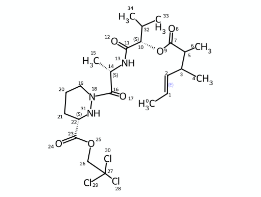 C/C=C/C(C)C(C)C(=O)O[C@H](C(=O)N[C@@H](C)C(=O)N1CCC[C@@H](C(=O)OCC(Cl)(Cl)Cl)N1)C(C)C